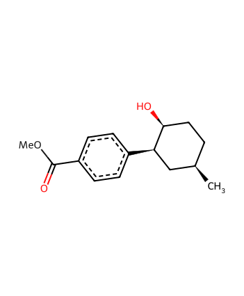 COC(=O)c1ccc([C@@H]2C[C@H](C)CC[C@@H]2O)cc1